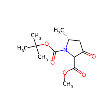 COC(=O)C1C(=O)C[C@@H](C)N1C(=O)OC(C)(C)C